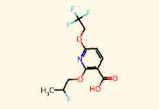 CC(F)COc1nc(OCC(F)(F)F)ccc1C(=O)O